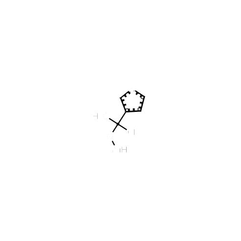 CC(C)(O[SiH3])c1ccsc1